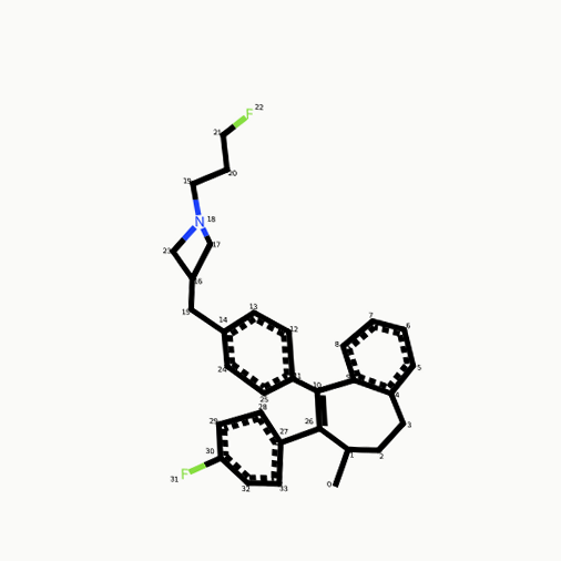 CC1CCc2ccccc2C(c2ccc(CC3CN(CCCF)C3)cc2)=C1c1ccc(F)cc1